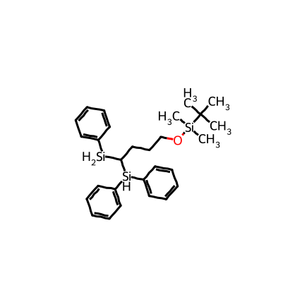 CC(C)(C)[Si](C)(C)OCCCC([SiH2]c1ccccc1)[SiH](c1ccccc1)c1ccccc1